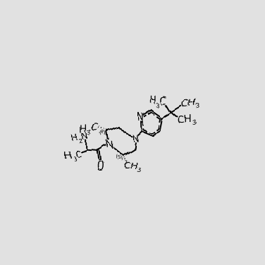 CC(N)C(=O)N1[C@H](C)CN(c2ccc(C(C)(C)C)cn2)C[C@@H]1C